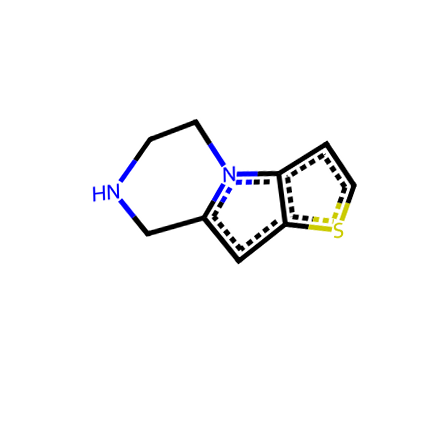 c1cc2c(cc3n2CCNC3)s1